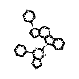 c1ccc(-c2nc(-n3c4ccccc4c4ccc5c(ccn5-c5ccccc5)c43)nc3ccsc23)cc1